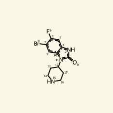 O=c1[nH]c2cc(F)c(Br)cc2n1C1CCNCC1